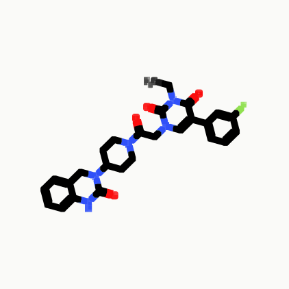 O=C(Cn1cc(-c2cccc(F)c2)c(=O)n(CC(F)(F)F)c1=O)N1CCC(N2Cc3ccccc3NC2=O)CC1